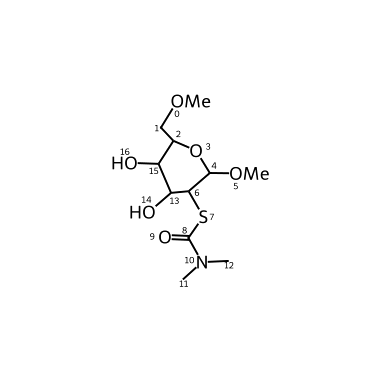 COCC1OC(OC)C(SC(=O)N(C)C)C(O)C1O